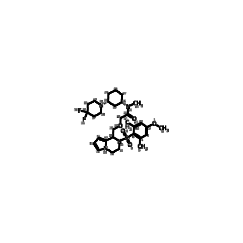 COc1cc(C)c(S(=O)(=O)N2CCn3cccc3C2COCC(=O)N(C)[C@H]2CCC[C@@H](N3CCC(F)(F)CC3)C2)c(C)c1